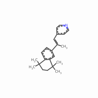 CC(=Cc1ccncc1)c1ccc2c(c1)C(C)(C)CCC2(C)C